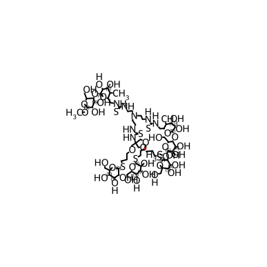 CO[C@H]1OC(CO)C(O[C@H]2OC(CNC(=S)NCCN(CCNC(=S)NCC3O[C@H](OC4C(CO)O[C@H](OC)C(O)[C@H]4O)C(O)[C@@H](O)C3C)CCNC(=S)NC(COCCCS[C@H]3OC(CO)[C@@H](O)[C@H](O)C3O)(COCCCS[C@H]3OC(CO)[C@@H](O)[C@H](O)C3O)COCCCS[C@@H]3OC(CO)[C@@H](O)[C@H](O)C3O)C(C)[C@H](O)C2O)[C@H](O)C1O